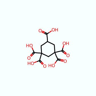 O=C(O)C1CC(C(=O)O)(C(=O)O)CC(C(=O)O)(C(=O)O)C1